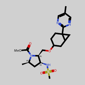 COC(=O)N1[C@H](C)C[C@H](NS(C)(=O)=O)[C@@H]1COC1CCC2(c3ncc(C)cn3)CC2C1